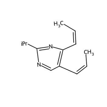 C/C=C\c1cnc(C(C)C)nc1/C=C\C